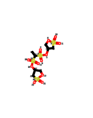 CC(S(=O)(=O)OC1COS(=O)(=O)C1)S(=O)(=O)OC1COS(=O)(=O)C1